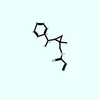 C=CC(=O)OCC1(C)CC1C(C)c1ccccc1